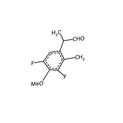 COc1c(F)cc(C(C)C=O)c(C)c1F